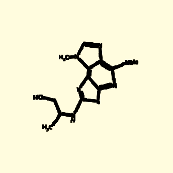 CNc1nc2sc(NC(C)CO)nc2c2c1ncn2C